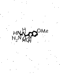 COc1ccc2[nH]c(C(=O)NC(=N)N)cc2c1.Cl